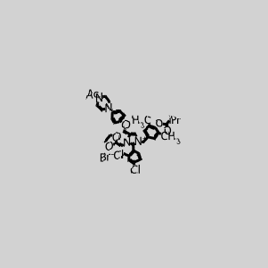 CC(=O)N1CCN(c2ccc(OCc3c[n+](Cc4cc(C)c(OC(=O)C(C)C)c(C)c4)c(-c4ccc(Cl)cc4Cl)n3CC3OCCO3)cc2)CC1.[Br-]